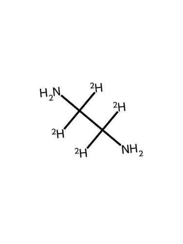 [2H]C([2H])(N)C([2H])([2H])N